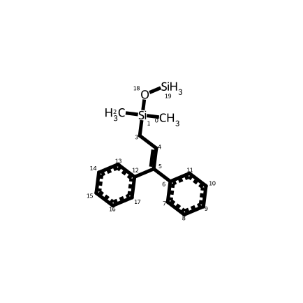 C[Si](C)(CC=C(c1ccccc1)c1ccccc1)O[SiH3]